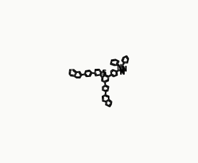 c1ccc(-c2nnc(-c3ccc(-c4cc(-c5ccc(-c6ccc7ccccc7c6)cc5)cc5c4sc4ccc(-c6ccc(-c7ccc8ccccc8c7)cc6)cc45)cc3)n2-c2ccccc2)cc1